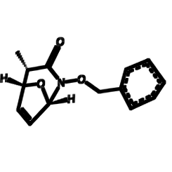 C[C@@H]1C(=O)N(OCc2ccccc2)[C@@H]2C=C[C@H]1O2